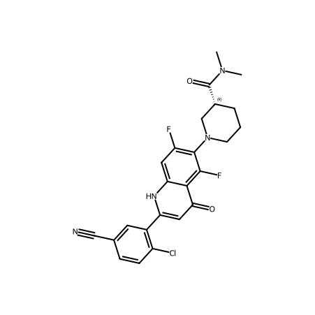 CN(C)C(=O)[C@@H]1CCCN(c2c(F)cc3[nH]c(-c4cc(C#N)ccc4Cl)cc(=O)c3c2F)C1